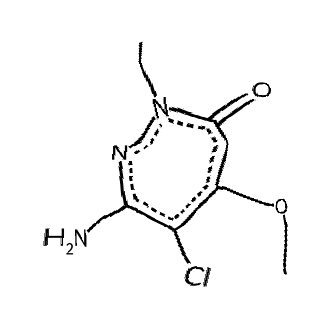 COc1c(Cl)c(N)nn(C)c1=O